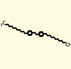 CCCCCCCCCCCCc1ccc(CCc2ccc(CCCCCCCCCCCC)cc2)cc1